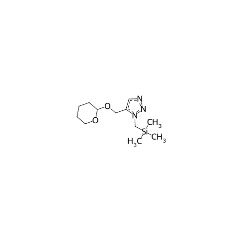 C[Si](C)(C)Cn1nncc1COC1CCCCO1